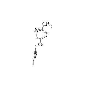 Cc1ccc(OCC#CI)cn1